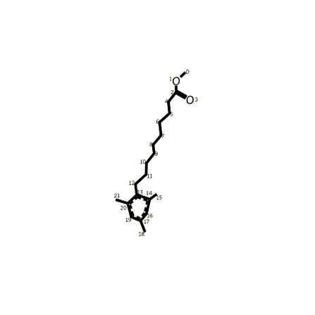 COC(=O)CCCCCCCCCc1c(C)cc(C)cc1C